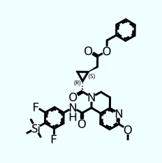 COc1ccc2c(n1)CCN(C(=O)[C@@H]1C[C@H]1CC(=O)OCc1ccccc1)C2C(=O)Nc1cc(F)c([Si](C)(C)C)c(F)c1